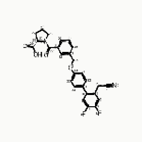 N#CCc1cc(F)c(F)cc1-c1ccc(OCc2cccc(C(=O)N3CCC[C@H]3C(=O)O)c2)cc1